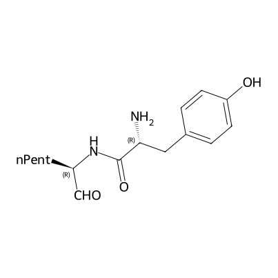 CCCCC[C@H](C=O)NC(=O)[C@H](N)Cc1ccc(O)cc1